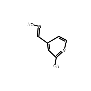 ON=Cc1ccnc(O)c1